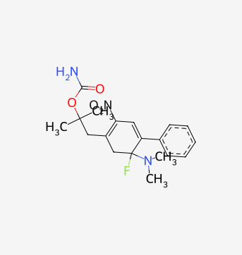 CN(C)C1(F)CC(CC(C)(C)OC(N)=O)=C([N+](=O)[O-])C=C1c1ccccc1